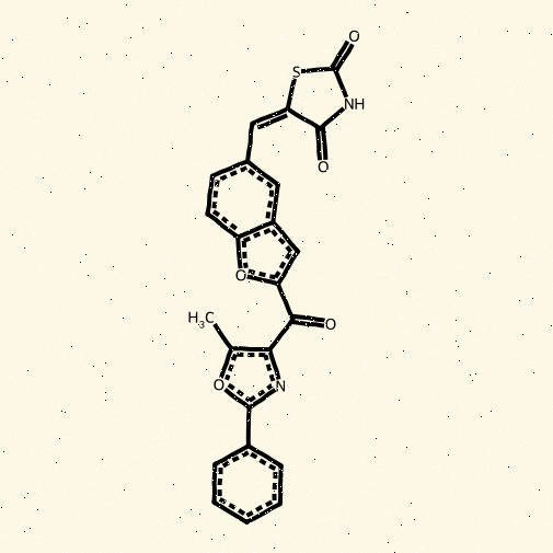 Cc1oc(-c2ccccc2)nc1C(=O)c1cc2cc(C=C3SC(=O)NC3=O)ccc2o1